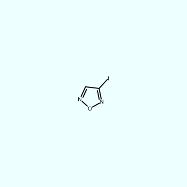 Ic1cnon1